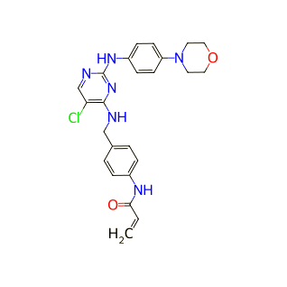 C=CC(=O)Nc1ccc(CNc2nc(Nc3ccc(N4CCOCC4)cc3)ncc2Cl)cc1